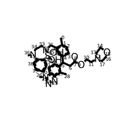 Cc1ccc(C(CC(=O)OCCN2CCOCC2)c2ccc3c(nnn3C)c2C)cc1CN1CCN(C)c2ccccc2S1(O)O